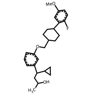 COc1ccc(F)c(C2CCC(COc3cccc(C(CC(C)O)C4CC4)c3)CC2)c1